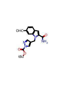 CC(C)(C)OC(=O)n1cc(Cn2c(C(N)=O)cc3ccc(C=O)cc32)cn1